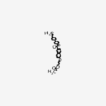 C=CC(=O)OCCCOc1ccc2cc(C(=O)Oc3ccc(-c4ccc(CCC)cc4)cc3)ccc2c1